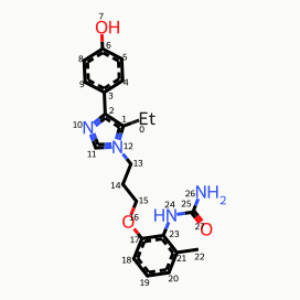 CCc1c(-c2ccc(O)cc2)ncn1CCCOc1cccc(C)c1NC(N)=O